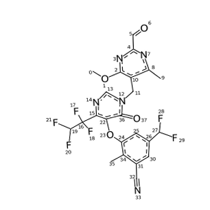 COc1nc(C=O)nc(C)c1Cn1cnc(C(F)(F)C(F)F)c(Oc2cc(C(F)F)cc(C#N)c2C)c1=O